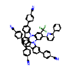 N#Cc1ccc(-c2ccc3c4ccc(-c5ccc(C#N)cc5)cc4n(-c4cc(-c5cccc(-c6ccccc6)n5)c(C(F)(F)F)cc4-n4c5cc(-c6ccc(C#N)cc6)ccc5c5ccc(-c6ccc(C#N)cc6)cc54)c3c2)cc1